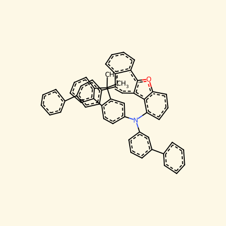 CC1(C)c2ccccc2-c2ccc(N(c3cccc(-c4ccccc4)c3)c3cccc4oc5c6ccccc6c(-c6ccc(-c7ccccc7)cc6)cc5c34)cc21